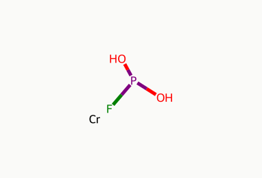 OP(O)F.[Cr]